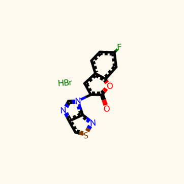 Br.O=c1oc2cc(F)ccc2cc1-n1cnc2csnc21